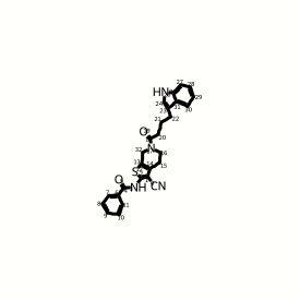 N#Cc1c(NC(=O)c2ccccc2)sc2c1CCN(C(=O)CCCc1c[nH]c3ccccc13)C2